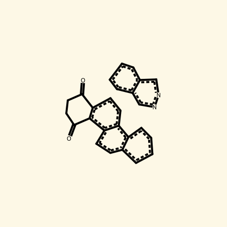 O=C1CCC(=O)c2c1ccc1c2ccc2ccccc21.c1ccc2cnncc2c1